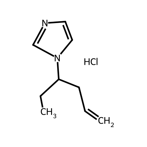 C=CCC(CC)n1ccnc1.Cl